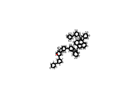 c1ccc(-c2cccc(-c3ccc4sc5ccc(-c6ccc7c(c6)c6ccccc6n7-c6cc7cccc8c7c7c6cccc7c6c8c7ccccc7n6-c6cccc(-c7ccccc7)c6)cc5c4c3)c2)cc1